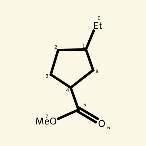 CCC1CCC(C(=O)OC)C1